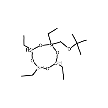 CC[SiH]1O[SiH](CC)O[Si](CC)(COC(C)(C)C)O[SiH](CC)O1